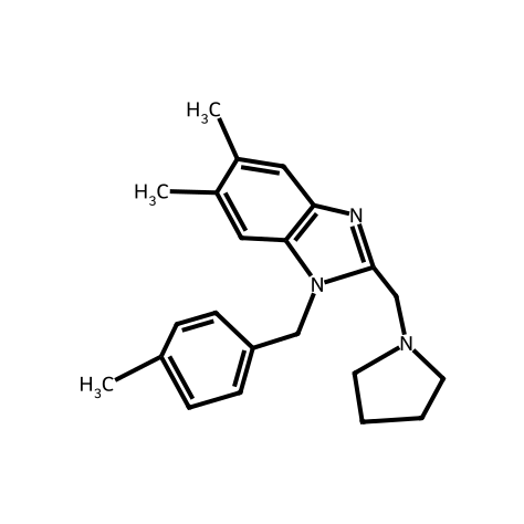 Cc1ccc(Cn2c(CN3CCCC3)nc3cc(C)c(C)cc32)cc1